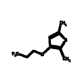 Cc1cc(OCCC(F)(F)F)c(C)s1